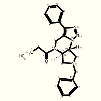 CCC(=O)N1Cc2c(-c3ccccc3)nnn2[C@@H]2CN(Cc3ccccc3)C[C@H]21.Cl